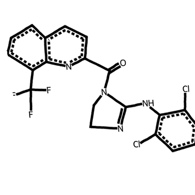 O=C(c1ccc2cccc(C(F)(F)F)c2n1)N1CCN=C1Nc1c(Cl)cccc1Cl